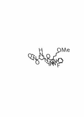 COCCCCc1c(C(=O)N(CC(C)C)[C@@H]2CNC[C@H](C(=O)N3CCOCC3)C2)nnn1-c1ccccc1F